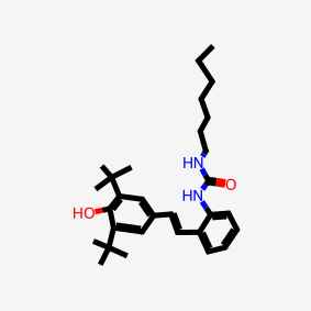 CCCCCCCNC(=O)Nc1ccccc1C=Cc1cc(C(C)(C)C)c(O)c(C(C)(C)C)c1